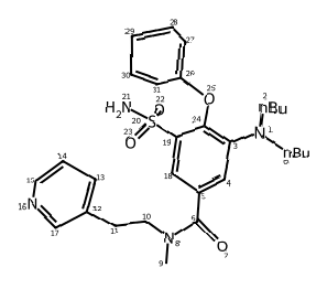 CCCCN(CCCC)c1cc(C(=O)N(C)CCc2cccnc2)cc(S(N)(=O)=O)c1Oc1ccccc1